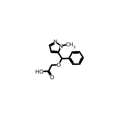 Cn1nccc1C(OCC(=O)O)c1ccccc1